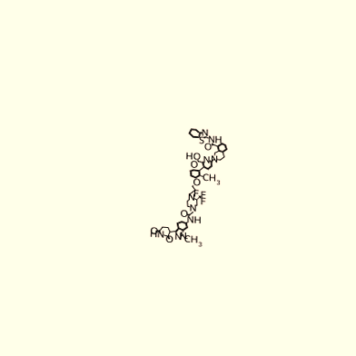 Cc1c(OCCCN2CCN(CC(=O)Nc3ccc4c(C5CCC(=O)NC5=O)nn(C)c4c3)C[C@@H]2C(F)(F)F)cccc1-c1ccc(N2CCc3cccc(C(=O)Nc4nc5ccccc5s4)c3C2)nc1C(=O)O